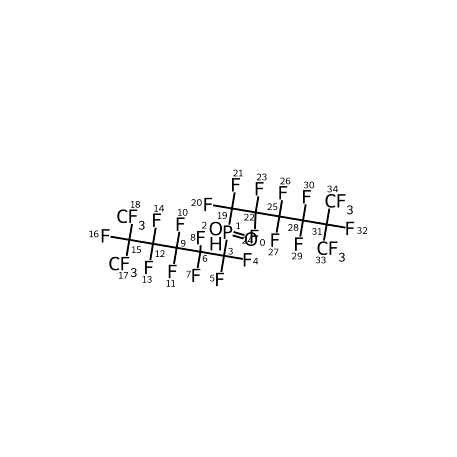 O=P(O)(C(F)(F)C(F)(F)C(F)(F)C(F)(F)C(F)(C(F)(F)F)C(F)(F)F)C(F)(F)C(F)(F)C(F)(F)C(F)(F)C(F)(C(F)(F)F)C(F)(F)F